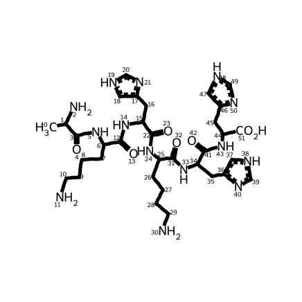 CC(N)C(=O)NC(CCCCN)C(=O)NC(Cc1c[nH]cn1)C(=O)NC(CCCCN)C(=O)NC(Cc1c[nH]cn1)C(=O)NC(Cc1c[nH]cn1)C(=O)O